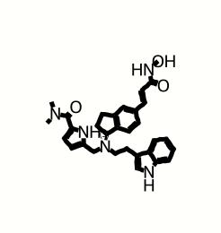 CN(C)C(=O)c1ccc(CN(CCc2c[nH]c3ccccc23)[C@H]2CCc3cc(C=CC(=O)NO)ccc32)[nH]1